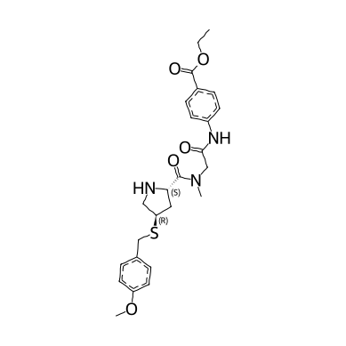 CCOC(=O)c1ccc(NC(=O)CN(C)C(=O)[C@@H]2C[C@@H](SCc3ccc(OC)cc3)CN2)cc1